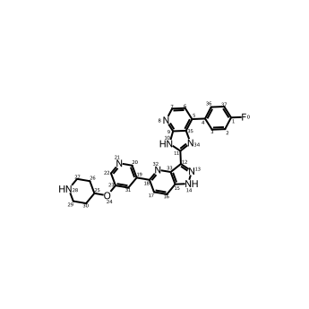 Fc1ccc(-c2ccnc3[nH]c(-c4n[nH]c5ccc(-c6cncc(OC7CCNCC7)c6)nc45)nc23)cc1